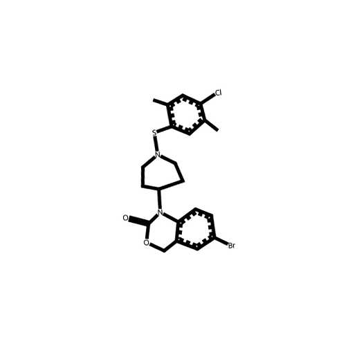 Cc1cc(SN2CCC(N3C(=O)OCc4cc(Br)ccc43)CC2)c(C)cc1Cl